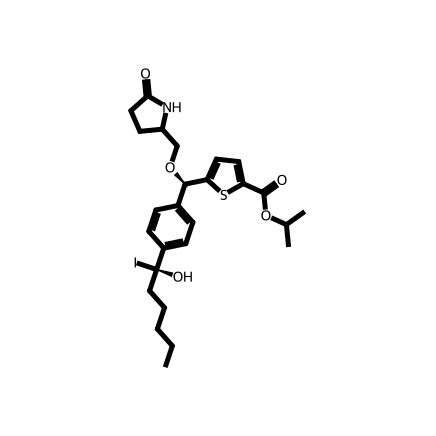 CCCCC[C@](O)(I)c1ccc([C@@H](OCC2CCC(=O)N2)c2ccc(C(=O)OC(C)C)s2)cc1